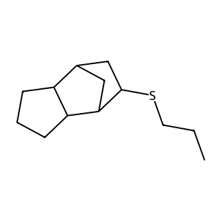 CCCSC1CC2CC1C1CCCC21